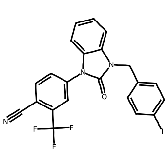 N#Cc1ccc(-n2c(=O)n(Cc3ccc(I)cc3)c3ccccc32)cc1C(F)(F)F